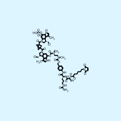 Cc1c[nH]c2c(OC(=O)N(C)CCN(C)C(=O)OCc3ccc(NC(=O)[C@H](CCCNC(N)=O)NC(=O)C(NC(=O)CCCCCN4C(=O)C=CC4=O)C(C)C)cc3)cc3c(c12)[C@H](CCl)CN3C(=O)C12CC3(C(=O)N4C[C@@H](CCl)c5c4cc(OP(=O)(O)O)c4[nH]cc(C)c54)CC13C2